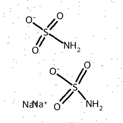 NS(=O)(=O)[O-].NS(=O)(=O)[O-].[Na+].[Na+]